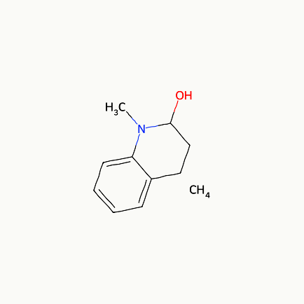 C.CN1c2ccccc2CCC1O